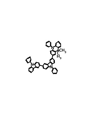 CC1(C)c2ccccc2N(c2ccccc2)c2ccc(-c3ccc4c(c3)c3cc(-c5ccc6c(c5)c5ccccc5n6-c5ccccc5)ccc3n4-c3ccccc3)cc21